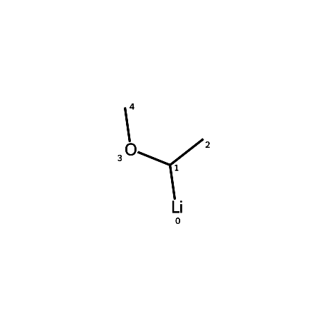 [Li][CH](C)OC